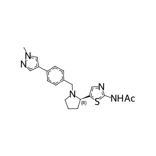 CC(=O)Nc1ncc([C@H]2CCCN2Cc2ccc(-c3cnn(C)c3)cc2)s1